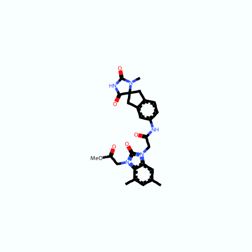 COC(=O)Cn1c(=O)n(CC(=O)Nc2ccc3c(c2)CC2(C3)C(=O)NC(=O)N2C)c2cc(C)cc(C)c21